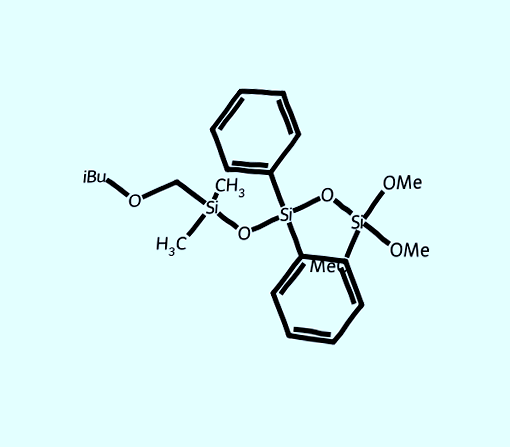 CCC(C)OC[Si](C)(C)O[Si](O[Si](OC)(OC)OC)(c1ccccc1)c1ccccc1